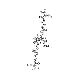 CC(C)[C@H](N)C(=O)OCCOC(=O)OCOP(=O)(O)C(O)(CCCN)P(=O)(O)OCOC(=O)OCCOC(=O)[C@@H](N)C(C)C